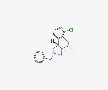 C[C@H]1Cc2c(Cl)cccc2[C@H]2CN(Cc3ccccc3)C[C@@]21C